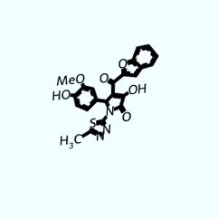 COc1cc(C2C(C(=O)c3cc4ccccc4o3)=C(O)C(=O)N2c2nnc(C)s2)ccc1O